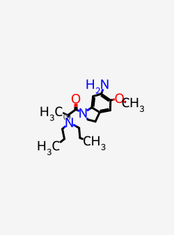 CCCN(CCC)[C@@H](C)C(=O)N1CCc2cc(OC)c(N)cc21